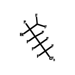 CCC(F)([C](F)F)C(F)(F)C(F)(F)C(F)(F)C(F)(F)F